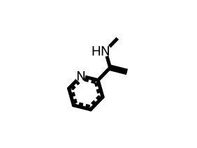 C=C(NC)c1ccccn1